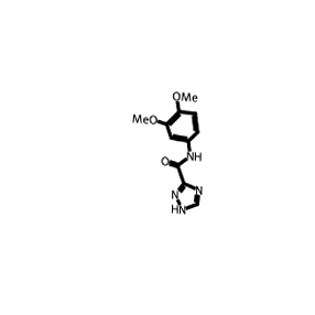 COc1ccc(NC(=O)c2nc[nH]n2)cc1OC